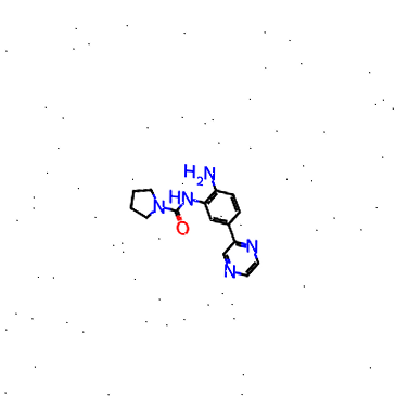 Nc1ccc(-c2cnccn2)cc1NC(=O)N1CCCC1